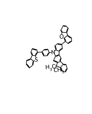 CC1(C)c2ccccc2-c2cc3c4cc(-c5cccc6c5oc5ccccc56)ccc4n(-c4ccc(-c5cccc6c5sc5ccccc56)cc4)c3cc21